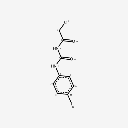 O=C(CCl)NC(=O)Nc1ccc(I)cc1